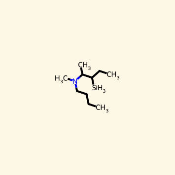 CCCCN(C)C(C)C([SiH3])CC